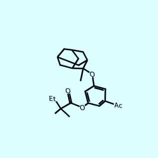 CCC(C)(C)C(=O)Oc1cc(OC2(C)C3CC4CC(C3)CC2C4)cc(C(C)=O)c1